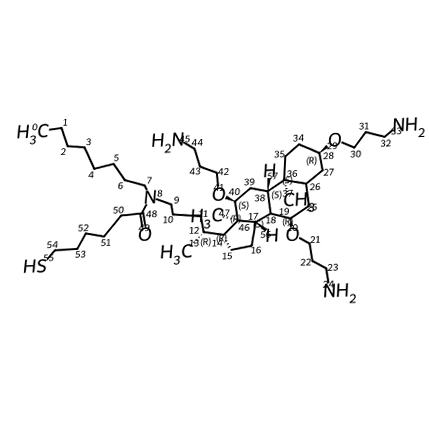 CCCCCCCCN(CCC[C@@H](C)[C@H]1CC[C@H]2C3[C@H](OCCCN)CC4C[C@H](OCCCN)CC[C@]4(C)[C@H]3C[C@H](OCCCN)[C@]12C)C(=O)CCCCCS